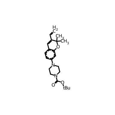 C=CC1=Cc2ccc(N3CCN(C(=O)OC(C)(C)C)CC3)cc2OC1(C)C